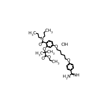 CCCN(CCC)C(=O)c1ccc(OCCCCCOc2ccc(C(=N)N)cc2)cc1OC(C)(C)C(=O)OCC.Cl